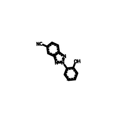 N#Cc1ccc2nn(-c3c[c]ccc3O)nc2c1